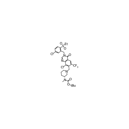 CCS(=O)(=O)c1ccc(Cl)cc1Cn1cnc2c(Cl)c(CN3CCC[C@@H](N(C)C(=O)OC(C)(C)C)C3)c(C(F)(F)F)cc2c1=O